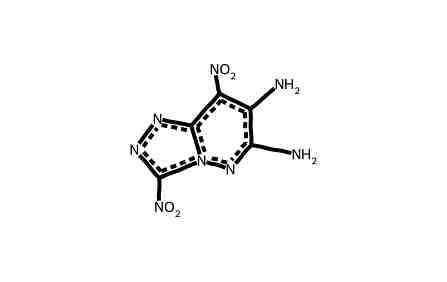 Nc1nn2c([N+](=O)[O-])nnc2c([N+](=O)[O-])c1N